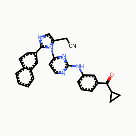 N#CCc1cnc(-c2ccc3ccccc3c2)n1-c1ccnc(Nc2cccc(C(=O)C3CC3)c2)n1